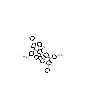 CC(C)(C)c1ccc(N(c2ccc(C3=CC=CCC3)cc2)c2ccc3c(c2)C2(c4ccccc4-c4ccccc42)c2cc(N(c4ccc(-c5ccccc5)cc4)c4ccc(C(C)(C)C)cc4)c4c(oc5ccccc54)c2-3)cc1